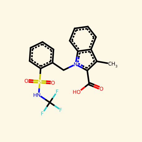 Cc1c(C(=O)O)n(Cc2ccccc2S(=O)(=O)NC(F)(F)F)c2ccccc12